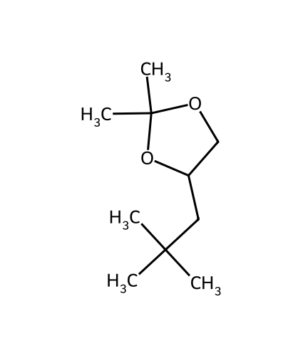 CC(C)(C)CC1COC(C)(C)O1